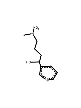 CN(CCCC(O)c1cccnc1)[N+](=O)[O-]